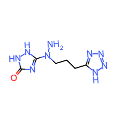 NN(CCCc1nnn[nH]1)c1nc(=O)[nH][nH]1